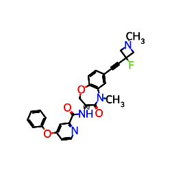 CN1CC(F)(C#Cc2ccc3c(c2)N(C)C(=O)[C@H](NC(=O)c2cc(Oc4ccccc4)ccn2)CO3)C1